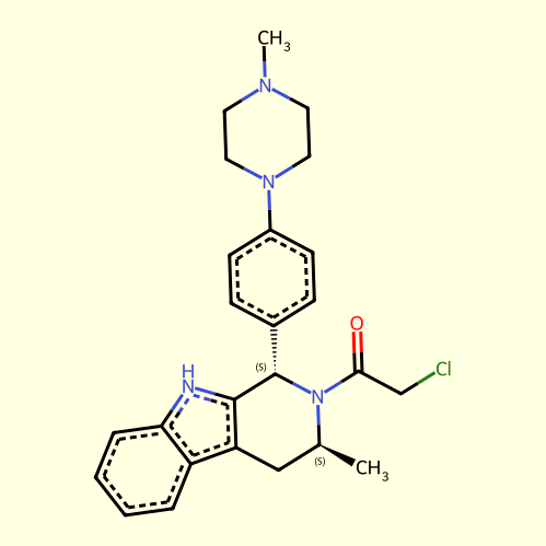 C[C@H]1Cc2c([nH]c3ccccc23)[C@H](c2ccc(N3CCN(C)CC3)cc2)N1C(=O)CCl